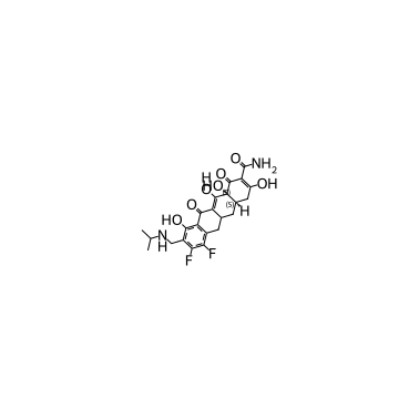 CC(C)NCc1c(O)c2c(c(F)c1F)CC1C[C@H]3CC(O)=C(C(N)=O)C(=O)[C@@]3(O)C(O)=C1C2=O